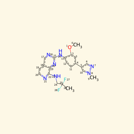 COc1cc(-c2cnn(C)c2)ccc1Nc1ncc2ccnc(NCC(C)(F)F)c2n1